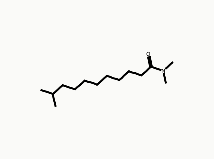 CC(C)CCCCCCCCC(=O)N(C)C